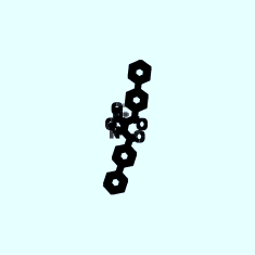 O=C(c1ccc(-c2ccccc2)cc1)c1no[n+]([O-])c1C(=O)c1ccc(-c2ccccc2)cc1